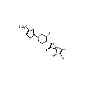 CCOC(=O)c1csc(N2CC[C@@H](NC(=O)c3[nH]c(C)c(Br)c3Cl)[C@@H](F)C2)n1